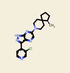 C[C@@H]1CCCC12CCN(c1cnc3c(-c4ccncc4Cl)n[nH]c3n1)CC2